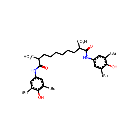 CC(C)(C)c1cc(NC(=O)C(CCCCCCC(C(=O)O)C(=O)Nc2cc(C(C)(C)C)c(O)c(C(C)(C)C)c2)C(=O)O)cc(C(C)(C)C)c1O